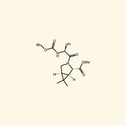 CCC[C@H](NC(=O)OC(C)(C)C)C(=O)N1C[C@H]2[C@@H]([C@H]1C(=O)OC)C2(C)C